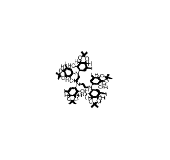 CC1(C)O[C@H]2[C@H](O)[C@@H](N(CCN([C@H]3C=C(I)[C@H]4OC(C)(C)O[C@H]4[C@@H]3O)[C@H]3C=C(I)[C@H]4OC(C)(C)O[C@H]4[C@@H]3O)CCN([C@H]3C=C(I)[C@H]4OC(C)(C)O[C@H]4[C@@H]3O)[C@H]3C=C(I)[C@H]4OC(C)(C)O[C@H]4[C@@H]3O)C=C(I)[C@H]2O1